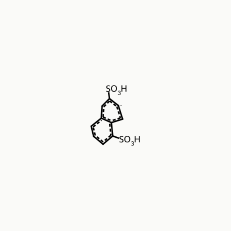 O=S(=O)(O)c1[c]cc2c(S(=O)(=O)O)cccc2c1